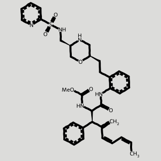 C=C(/C=C\C=C/C)[C@@H](c1ccccc1)C(NC(=O)OC)C(=O)Nc1ccccc1CC[C@@H]1CN[C@H](CNS(=O)(=O)c2ccccn2)CO1